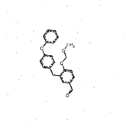 COCOc1ccc(C=O)cc1Cc1ccc(Oc2ccccc2)cc1